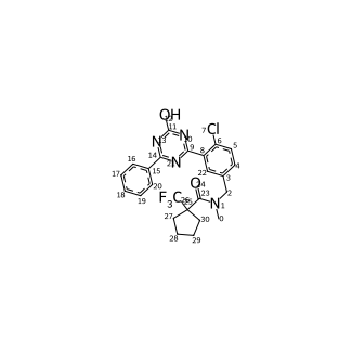 CN(Cc1ccc(Cl)c(-c2nc(O)nc(-c3ccccc3)n2)c1)C(=O)C1(C(F)(F)F)CCCC1